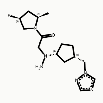 BN(CC(=O)N1C[C@@H](F)C[C@H]1C)[C@@H]1CC[C@H](Cn2cncn2)C1